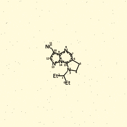 CCC(CC)N1CCc2cnc3c(C#N)cnn3c21